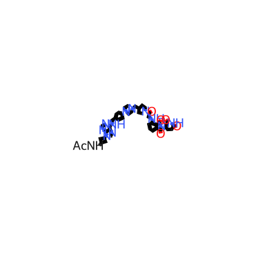 CC(=O)NC1CC(n2cnc3c(NCc4ccc(N5CCN(CC6CCN(C(=O)CNc7cccc8c7C(=O)N([C@H]7CCC(=O)NC7=O)C8=O)CC6)CC5)cc4)ncnc32)C1